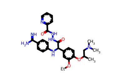 CCOc1cc(C(Nc2ccc(C(=N)N)cc2)C(=O)NNC(=O)c2ccccn2)ccc1OC(C)CN(C)C